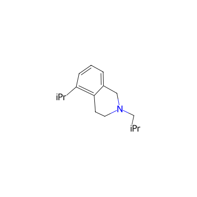 CC(C)CN1CCc2c(cccc2C(C)C)C1